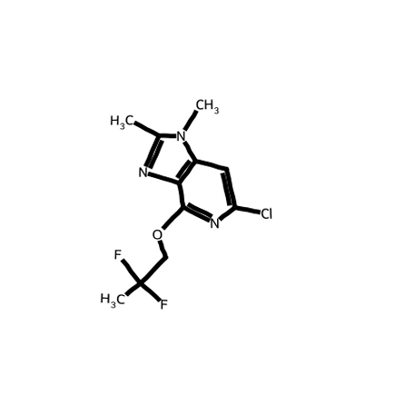 Cc1nc2c(OCC(C)(F)F)nc(Cl)cc2n1C